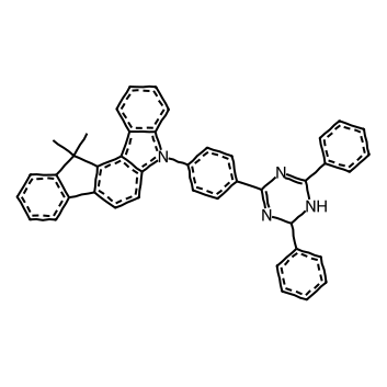 CC1(C)c2ccccc2-c2ccc3c(c21)c1ccccc1n3-c1ccc(C2=NC(c3ccccc3)NC(c3ccccc3)=N2)cc1